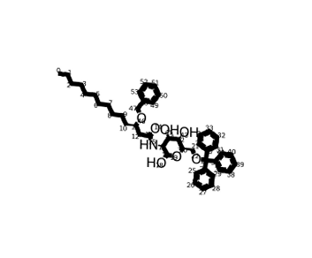 CCCCCCCCCCC[C@H](CC(=O)N[C@H]1C(O)O[C@H](COC(c2ccccc2)(c2ccccc2)c2ccccc2)[C@@H](O)[C@@H]1O)OCc1ccccc1